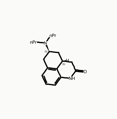 CCCN(CCC)[C@@H]1Cc2cccc3c2[C@H](CC(=O)N3)C1